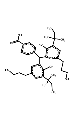 CCC(C)(C)c1cc(CCCO)cc(C(c2ccc(C(=O)O)cc2)c2cc(CCCO)cc(C(C)(C)CC)c2O)c1O